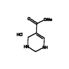 COC(=O)C1=CNCNC1.Cl